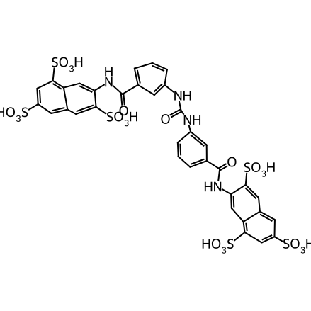 O=C(Nc1cccc(C(=O)Nc2cc3c(S(=O)(=O)O)cc(S(=O)(=O)O)cc3cc2S(=O)(=O)O)c1)Nc1cccc(C(=O)Nc2cc3c(S(=O)(=O)O)cc(S(=O)(=O)O)cc3cc2S(=O)(=O)O)c1